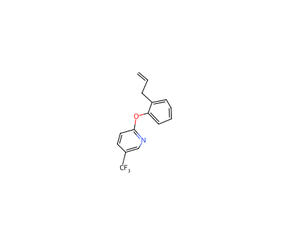 C=CCc1ccccc1Oc1ccc(C(F)(F)F)cn1